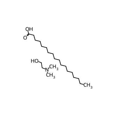 CCCCCCCCCCCCCCCCCC(=O)O.CN(C)CCO